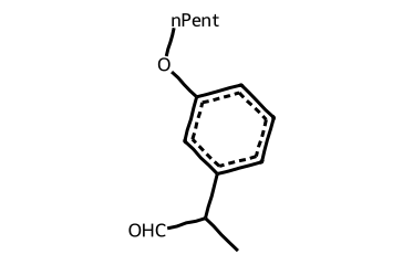 CCCCCOc1cccc(C(C)C=O)c1